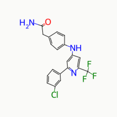 NC(=O)Cc1ccc(Nc2cc(-c3cccc(Cl)c3)nc(C(F)(F)F)c2)cc1